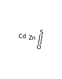 O=S.[Cd].[Zn]